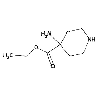 CCOC(=O)C1(N)CCNCC1